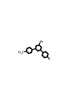 Cc1ccc(-c2cc(-c3ccc(F)cc3)cc(C(C)C)c2)cc1